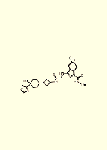 Cc1ccc2c(c1)c(NCC(=O)NC1CN([C@H]3CC[C@@](O)(c4nccs4)CC3)C1)nn2C(=O)NC(C)(C)C